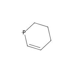 C1=C[P]CCC1